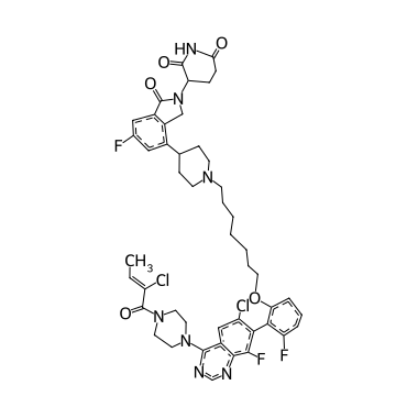 CC=C(Cl)C(=O)N1CCN(c2ncnc3c(F)c(-c4c(F)cccc4OCCCCCCCN4CCC(c5cc(F)cc6c5CN(C5CCC(=O)NC5=O)C6=O)CC4)c(Cl)cc23)CC1